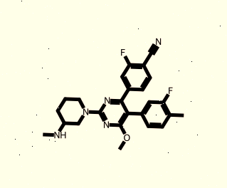 CNC1CCCN(c2nc(OC)c(-c3ccc(C)c(F)c3)c(-c3ccc(C#N)c(F)c3)n2)C1